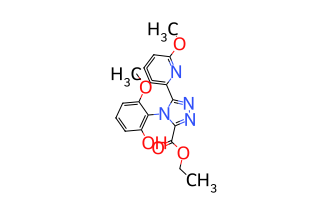 CCOC(=O)c1nnc(C2=C=C=CC(OC)=N2)n1-c1c(O)cccc1OC